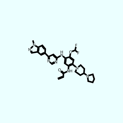 C=CC(=O)Nc1cc(Nc2cc(-c3ccc4c(cnn4C)c3)ncn2)c(OC(F)F)cc1N1CCC(N2CCCC2)CC1